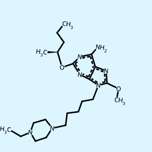 CCC[C@H](C)Oc1nc(N)c2nc(OC)n(CCCCCN3CCN(CC)CC3)c2n1